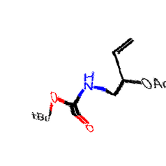 C=CC(CNC(=O)OC(C)(C)C)OC(C)=O